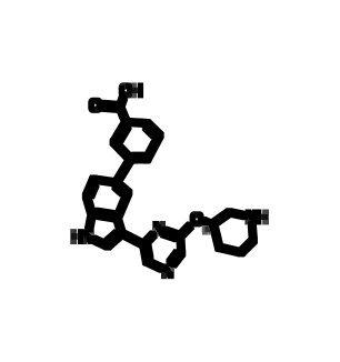 O=C(O)c1cccc(-c2ccc3[nH]cc(-c4cncc(O[C@@H]5CCCNC5)n4)c3c2)c1